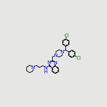 Clc1ccc(C(c2ccc(Cl)cc2)N2CCN(Cc3nc(NCCCN4CCCCC4)c4ccccc4n3)CC2)cc1